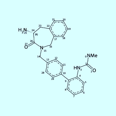 CNC(=O)Nc1ccccc1-c1ccc(CN2Cc3ccccc3C[C@@H](N)C2=O)cc1